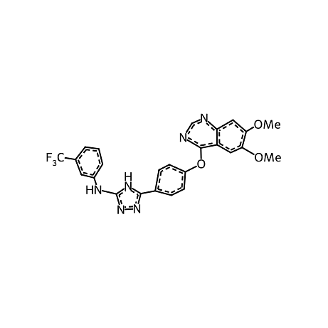 COc1cc2ncnc(Oc3ccc(-c4nnc(Nc5cccc(C(F)(F)F)c5)[nH]4)cc3)c2cc1OC